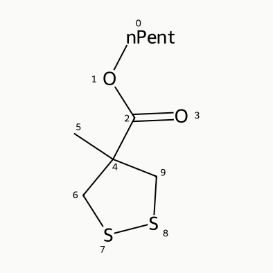 CCCCCOC(=O)C1(C)CSSC1